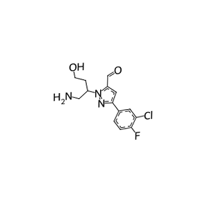 NCC(CCO)n1nc(-c2ccc(F)c(Cl)c2)cc1C=O